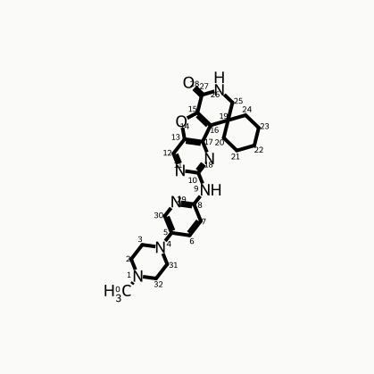 CN1CCN(c2ccc(Nc3ncc4oc5c(c4n3)C3(CCCCC3)CNC5=O)nc2)CC1